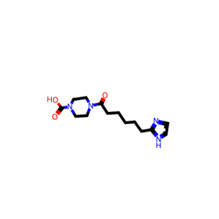 O=C(O)N1CCN(C(=O)CCCCCc2ncc[nH]2)CC1